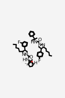 CCCCCC1=NN(C(=O)NC(C)(C)c2ccccc2)CC1c1ccc(F)cc1.CCCCCC1=NN(C(=O)N[C@H]2C[C@H]3CC[C@]2(C)C3(C)C)CC1c1cccc(F)c1